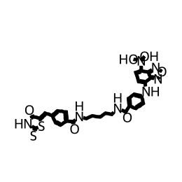 O=C1NC(=S)S/C1=C\c1ccc(C(=O)NCCCCCNC(=O)c2ccc(Nc3ccc(N(O)O)c4nonc34)cc2)cc1